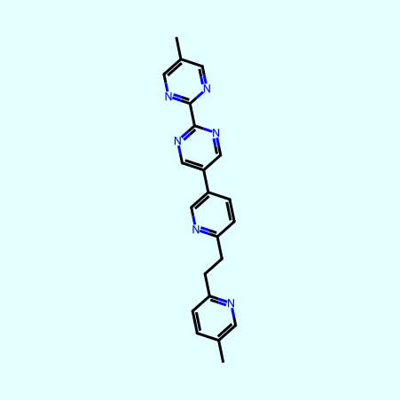 Cc1ccc(CCc2ccc(-c3cnc(-c4ncc(C)cn4)nc3)cn2)nc1